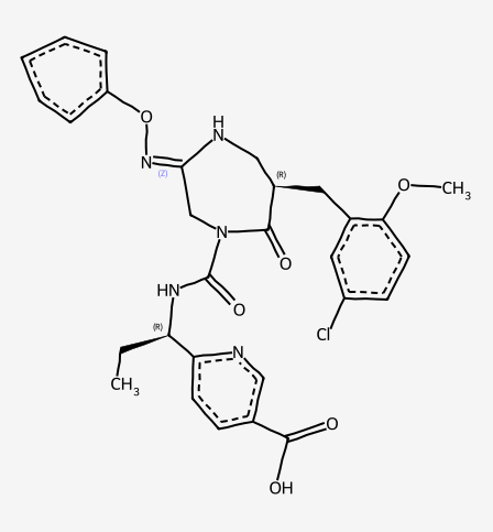 CC[C@@H](NC(=O)N1C/C(=N/Oc2ccccc2)NC[C@@H](Cc2cc(Cl)ccc2OC)C1=O)c1ccc(C(=O)O)cn1